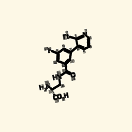 CCc1ncccc1-c1cc(F)cc(C(=O)NC[C@@H](N)C(=O)O)c1